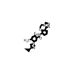 Cc1cc(F)c(C(=O)Nc2cccc3c2OCCn2cnnc2-3)cc1-n1cnc(C2CC2)c1